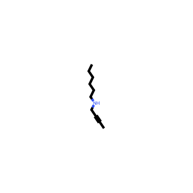 CC#CCNCCCCCC